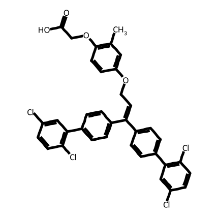 Cc1cc(OCC=C(c2ccc(-c3cc(Cl)ccc3Cl)cc2)c2ccc(-c3cc(Cl)ccc3Cl)cc2)ccc1OCC(=O)O